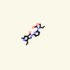 CCc1nc(C)cc2c1CN(c1cccc(N3C(=O)OCC3CC)n1)C2=O